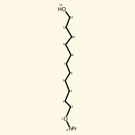 CCCOCCCCCCCCCCCO